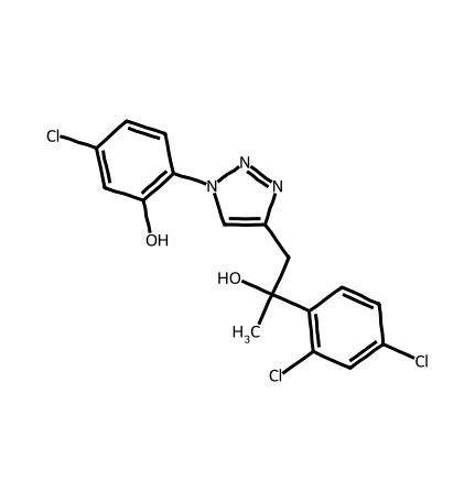 CC(O)(Cc1cn(-c2ccc(Cl)cc2O)nn1)c1ccc(Cl)cc1Cl